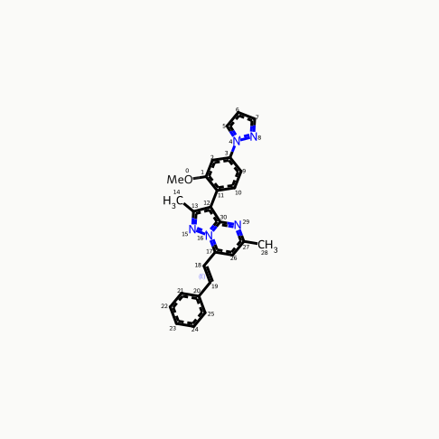 COc1cc(-n2cccn2)ccc1-c1c(C)nn2c(/C=C/c3ccccc3)cc(C)nc12